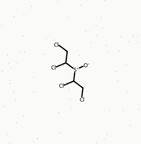 [O-][S+](C(Cl)CCl)C(Cl)CCl